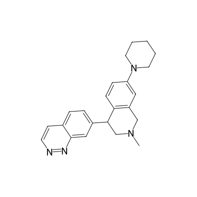 CN1Cc2cc(N3CCCCC3)ccc2C(c2ccc3ccnnc3c2)C1